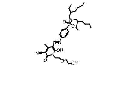 CCCCC(CC)CN(CC(CC)CCCC)S(=O)(=O)c1ccc(/N=N/c2c(C)c(C#N)c(=O)n(CCOCCO)c2O)cc1